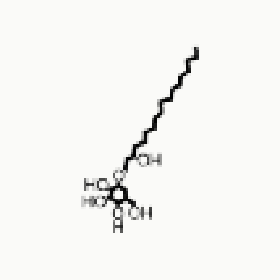 CCCCCCCCCCCCCCC[C@@H](O)CCOC1CC(CO)C(O)C(O)C1O